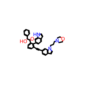 O=C(c1cccc(C#Cc2ccc3ccn(CCCN4CCOCC4)c3c2)c1-c1ccc2cc[nH]c2c1)C(O)c1ccccc1